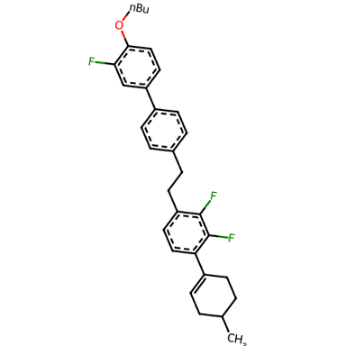 CCCCOc1ccc(-c2ccc(CCc3ccc(C4=CCC(C)CC4)c(F)c3F)cc2)cc1F